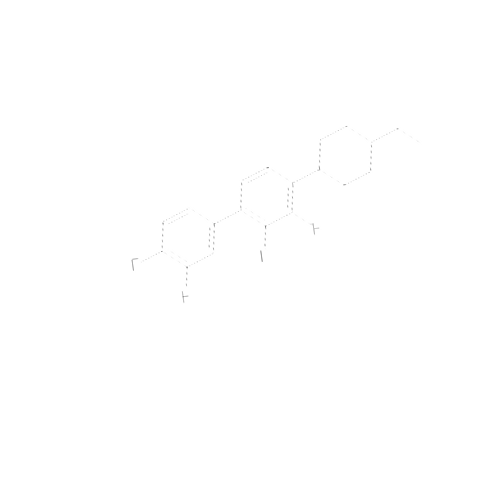 CCC1CCC(c2ccc(-c3ccc(F)c(F)c3)c(F)c2F)CC1